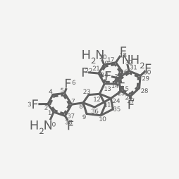 Nc1c(F)cc(F)c(C23CC4CC(c5c(F)cc(F)c(N)c5F)(C2)C(c2c(F)cc(F)c(N)c2F)(C4)C3)c1F